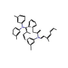 C=C(Cc1ccccc1/C(=C(C)/C=C\C)N(c1cccc(C)c1)c1cccc(C)c1)N(/C=C/C(C)=C\C=C/C)c1cccc(C)c1